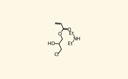 C=CC(=O)OCC(O)CCl.CCNCC